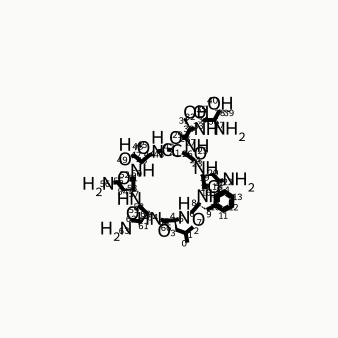 CC(C)C[C@@H]1NC(=O)[C@@H](Cc2ccccc2)NC(=O)[C@H](CCN)NC(=O)[C@@H](NC(=O)[C@@H](CO)NC(=O)[C@@H](N)[C@@H](C)O)CCNC(=O)[C@H]([C@@H](C)O)NC(=O)[C@H](CCN)NC(=O)[C@H](CCN)NC1=O